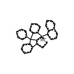 c1ccc(C2(c3ccccc3Nc3cccc4ccccc34)c3ccccc3-c3ccccc32)cc1